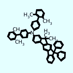 Cc1cccc(C)c1-c1ccc(N(c2ccc(-c3c(C)cccc3C)cc2)c2ccc3c(c2)C(C)(C)c2cc4c(cc2-3)-c2ccccc2C4(c2ccccc2)c2ccccc2)cc1